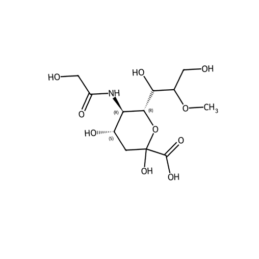 COC(CO)C(O)[C@@H]1OC(O)(C(=O)O)C[C@H](O)[C@H]1NC(=O)CO